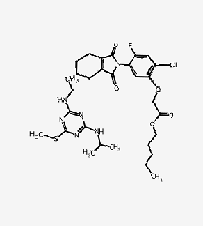 CCCCCOC(=O)COc1cc(N2C(=O)C3=C(CCCC3)C2=O)c(F)cc1Cl.CCNc1nc(NC(C)C)nc(SC)n1